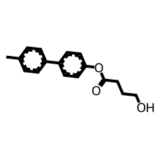 Cc1ccc(-c2ccc(OC(=O)CCCO)cc2)cc1